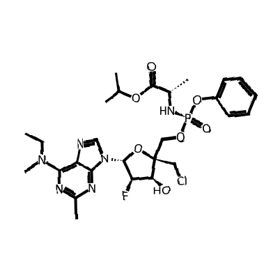 CCN(C)c1nc(C)nc2c1ncn2[C@@H]1O[C@](CCl)(CO[P@](=O)(N[C@@H](C)C(=O)OC(C)C)Oc2ccccc2)[C@@H](O)[C@H]1F